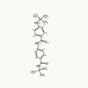 CC(C)(C)NC(=O)c1ccc(NC(=O)c2ccc(NC(C)(C)C)cc2)cc1